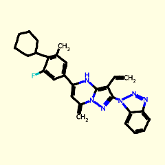 C=Cc1c(-n2nnc3ccccc32)nn2c1NC(c1cc(C)c(C3CCCCC3)c(F)c1)=CC2=C